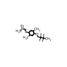 CCN(C)/C=N/c1cc(C)c(OCC(F)(F)C(C)(F)F)cc1C